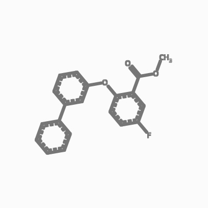 COC(=O)c1cc(F)ccc1Oc1cccc(-c2ccccc2)c1